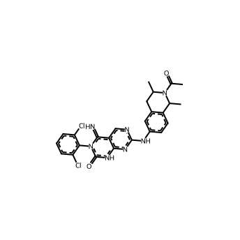 CC(=O)N1C(C)Cc2cc(Nc3ncc4c(=N)n(-c5c(Cl)cccc5Cl)c(=O)[nH]c4n3)ccc2C1C